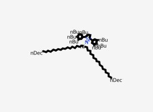 CCCCC1=C(c2cc(CCCC)c(CCCC)c(CCCC)c2)[N+](=[N-])C(c2cc(CCCC)c(CCCC)c(CCCC)c2)=C1.CCCCCCCCCCCCCCCCCCCCCCCCCC[CH2][Ni][CH2]CCCCCCCCCCCCCCCCCCCCCCCCCC